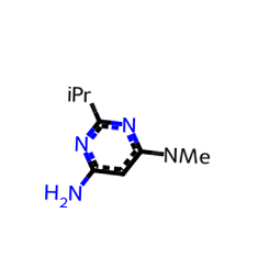 CNc1cc(N)nc(C(C)C)n1